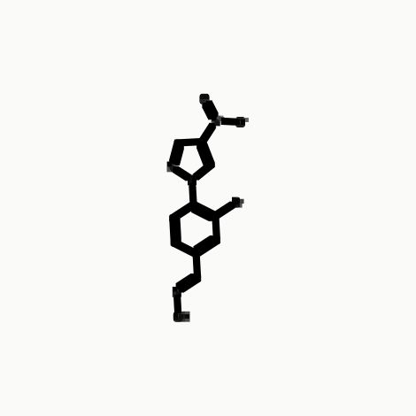 O=[N+]([O-])c1cnn(-c2ccc(C=NO)cc2Br)c1